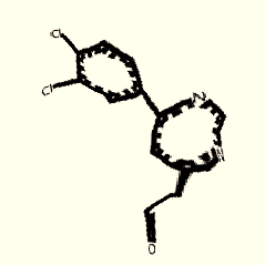 O=CCc1cc(-c2ccc(Cl)c(Cl)c2)ncn1